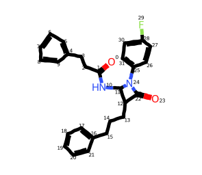 O=C(CCc1ccccc1)NC1C(CCCc2ccccc2)C(=O)N1c1ccc(F)cc1